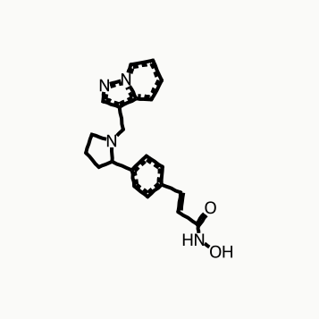 O=C(C=Cc1ccc(C2CCCN2Cc2cnn3ccccc23)cc1)NO